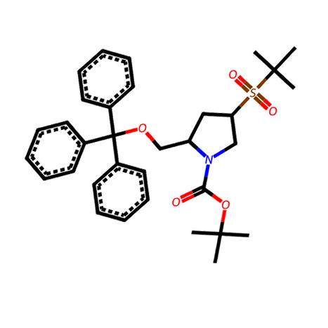 CC(C)(C)OC(=O)N1CC(S(=O)(=O)C(C)(C)C)CC1COC(c1ccccc1)(c1ccccc1)c1ccccc1